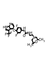 CC1CN(CCNC(=O)Nc2cc(F)c(Oc3ccnc4[nH]cc(C(F)(F)F)c34)c(F)c2)CC(C)O1